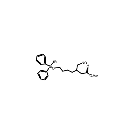 COC(=O)CC(CCCCO[Si](c1ccccc1)(c1ccccc1)C(C)(C)C)C[N+](=O)[O-]